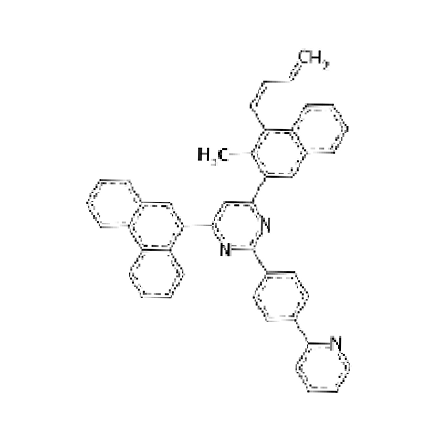 C=C/C=C\c1c(C)c(-c2cc(-c3cc4ccccc4c4ccccc34)nc(-c3ccc(-c4ccccn4)cc3)n2)cc2ccccc12